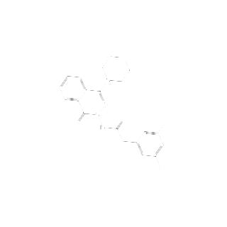 O=C(Cc1cc(F)cc(F)c1)Nn1nc(N2CCSCC2)c2ccccc2c1=O